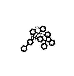 CC1(C)c2ccccc2Oc2cccc(N(c3ccc(-c4ccccc4)cc3)c3ccc(C4(c5ccccc5)c5ccccc5-c5ccccc54)cc3)c21